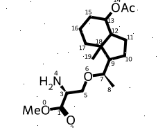 COC(=O)[C@@H](N)CO[C@H](C)C1CCC2C(OC(C)=O)CCCC21C